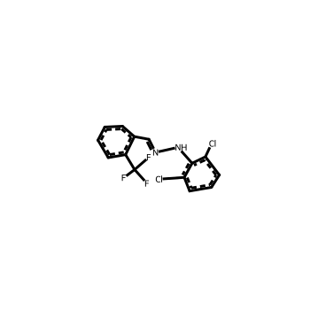 FC(F)(F)c1ccccc1/C=N/Nc1c(Cl)cccc1Cl